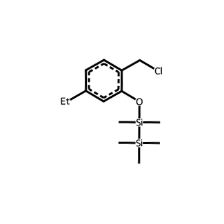 CCc1ccc(CCl)c(O[Si](C)(C)[Si](C)(C)C)c1